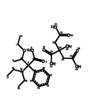 CCOC(C)C(C(=O)O)(c1ccccc1)N(CC)CC.O=C(O)CC(O)(CC(=O)O)C(=O)O